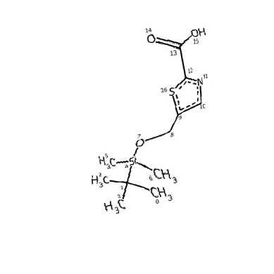 CC(C)(C)[Si](C)(C)OCc1cnc(C(=O)O)s1